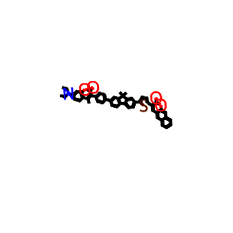 CCN(CC)c1ccc2c(C)c(-c3ccc(-c4ccc5c(c4)C(C)(C)c4cc(-c6ccc(-c7cc8cc9ccccc9cc8oc7=O)s6)ccc4-5)cc3)c(=O)oc2c1